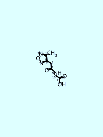 Cc1nonc1CC(=O)NCC(=O)O